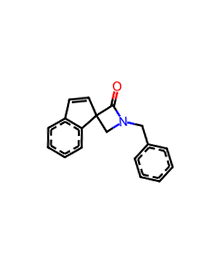 O=C1N(Cc2ccccc2)CC12C=Cc1ccccc12